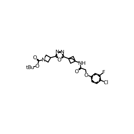 CC(C)(C)OC(=O)N1CC(c2nnc(C34CC(NC(=O)COc5ccc(Cl)c(F)c5)(C3)C4)o2)C1